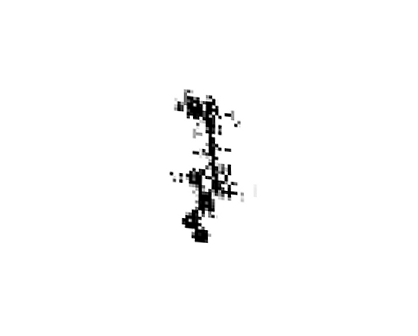 N#Cc1cncc(COc2cc(OCc3cccc(-c4ccccc4)c3Cl)c(Cl)cc2CNC(CC(=O)C(=O)NCCC(S)C(S)CCNC(=O)C(=O)N=C(Nc2ccc(F)c(Br)c2)c2nonc2N)C(=O)O)c1